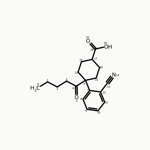 CCCCC(=O)C1(c2ccccc2C#N)CCC(C(=O)O)CC1